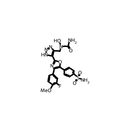 COc1ccc(-c2nc(-c3[nH]nnc3CN(O)C(N)=O)oc2-c2ccc(S(N)(=O)=O)cc2)cc1F